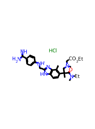 CCOC(=O)CN(C)CC(C)(C(=O)N(C)CC)c1ccc2[nH]c(CNc3ccc(C(=N)N)cc3)nc2c1C.Cl